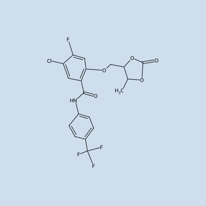 CC1OC(=O)OC1COc1cc(F)c(Cl)cc1C(=O)Nc1ccc(C(F)(F)F)cc1